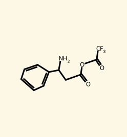 NC(CC(=O)OC(=O)C(F)(F)F)c1ccccc1